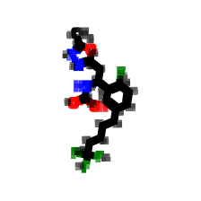 Cc1nnc(CC(NC(=O)O)c2cc(CCCCC(F)(F)F)ccc2F)o1